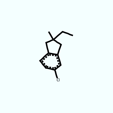 CCC1(C)Cc2ccc(Cl)cc2C1